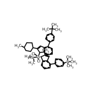 CC1=Cc2c(-c3ccc([Si](C)(C)C)cc3)cccc2[CH]1[Zr]([Cl])([Cl])([CH]1C(C2CCC(C)CC2)=Cc2c(-c3ccc(C(C)(C)C)cc3)cccc21)[SiH](C)C